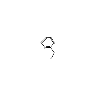 [CH2]Cc1ncccn1